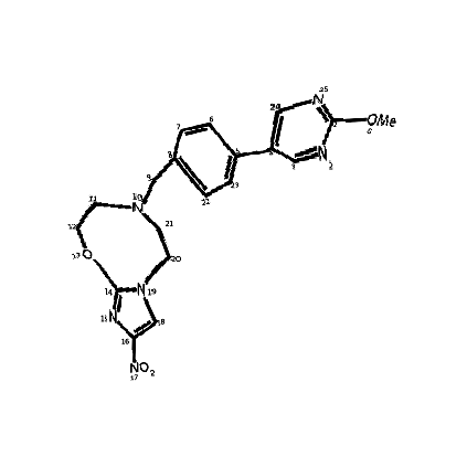 COc1ncc(-c2ccc(CN3CCOc4nc([N+](=O)[O-])cn4CC3)cc2)cn1